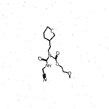 COCCOC(=O)N(CCC1CCCCC1)C(=O)NCC#N